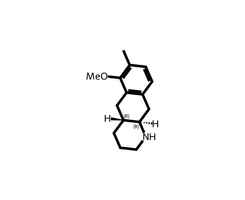 COc1c(C)ccc2c1C[C@H]1CCCN[C@@H]1C2